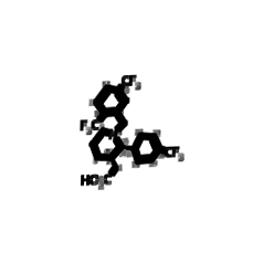 O=C(O)C[C@H]1CCCN(Cc2cc(C(F)(F)F)ccc2C(F)(F)F)[C@H]1C1C=CC(C(F)(F)F)=CC1